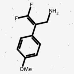 COc1ccc(C(CN)=C(F)F)cc1